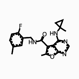 Cc1ccc(F)c(CNC(=O)c2c(C)oc3ncnc(NC4(C)CC4)c23)c1